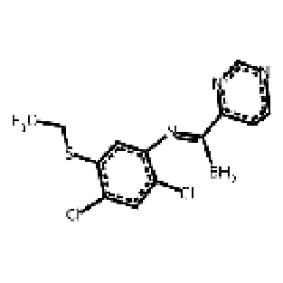 B/C(=N\c1cc(SCC(F)(F)F)c(Cl)cc1Cl)c1ccncn1